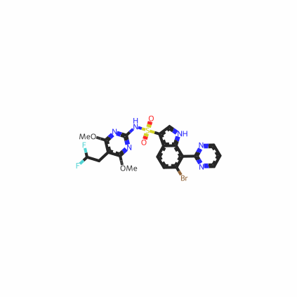 COc1nc(NS(=O)(=O)c2c[nH]c3c(-c4ncccn4)c(Br)ccc23)nc(OC)c1CC(F)F